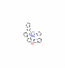 c1ccc(-c2nc(-c3ccc4ccccc4c3)nc(-c3c(-c4ccccc4)ccc4oc5cc6ccccc6cc5c34)n2)cc1